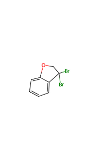 BrC1(Br)COc2ccccc21